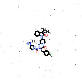 CN[C@H]1CCN(C(=O)N[C@@H](Cc2ccc(Cl)cc2)C(=O)N2CCC(N3C(=O)C(C)(C)c4ccccc43)CC2)C1